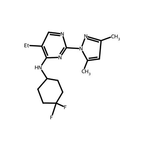 CCc1cnc(-n2nc(C)cc2C)nc1NC1CCC(F)(F)CC1